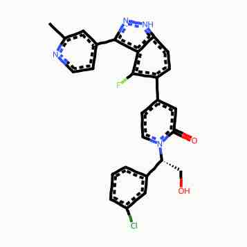 Cc1cc(-c2n[nH]c3ccc(-c4ccn([C@H](CO)c5cccc(Cl)c5)c(=O)c4)c(F)c23)ccn1